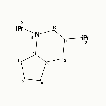 CC(C)C1CC2CCCC2N(C(C)C)C1